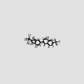 CC(C)(C)c1ccc2cc(-c3ccc4cc(C(C)(C)C)sc4c3)ccc2c1